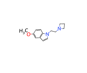 COc1ccc2c(ccn2CCN2CCC2)c1